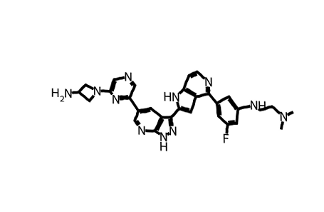 CN(C)CCNc1cc(F)cc(-c2nccc3[nH]c(-c4n[nH]c5ncc(-c6cncc(N7CC(N)C7)n6)cc45)cc23)c1